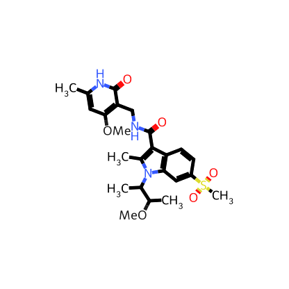 COc1cc(C)[nH]c(=O)c1CNC(=O)c1c(C)n(C(C)C(C)OC)c2cc(S(C)(=O)=O)ccc12